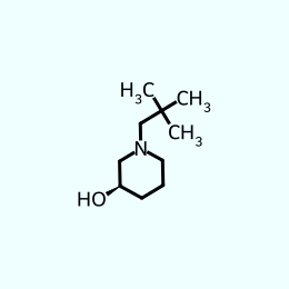 CC(C)(C)CN1CCC[C@@H](O)C1